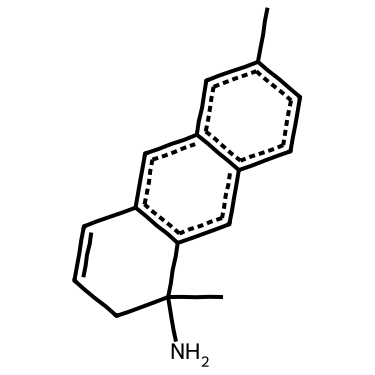 Cc1ccc2cc3c(cc2c1)C=CCC3(C)N